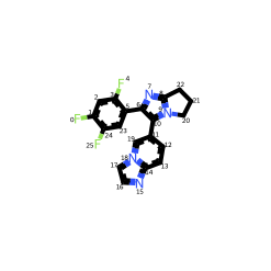 Fc1cc(F)c(-c2nc3n(c2-c2ccc4nccn4c2)CCC3)cc1F